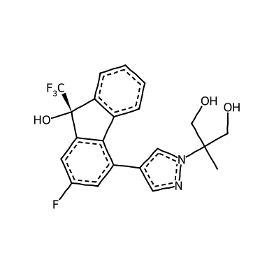 CC(CO)(CO)n1cc(-c2cc(F)cc3c2-c2ccccc2[C@]3(O)C(F)(F)F)cn1